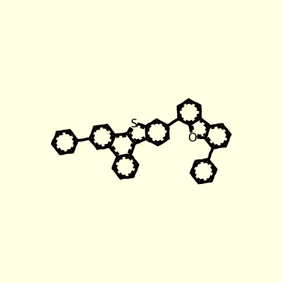 c1ccc(-c2ccc3c(c2)c2ccccc2c2c4ccc(-c5cccc6c5oc5c(-c7ccccc7)cccc56)cc4sc32)cc1